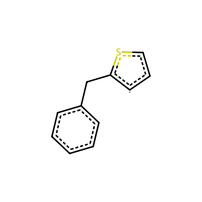 [c]1ccsc1Cc1ccccc1